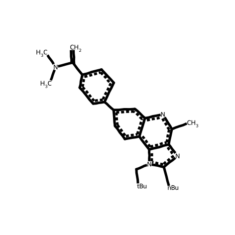 C=C(c1ccc(-c2ccc3c(c2)nc(C)c2nc(CCCC)n(CC(C)(C)C)c23)cc1)N(C)C